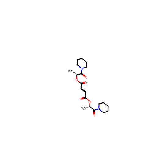 C[C@H](OC(=O)/C=C/C(=O)O[C@@H](C)C(=O)N1CCCCC1)C(=O)N1CCCCC1